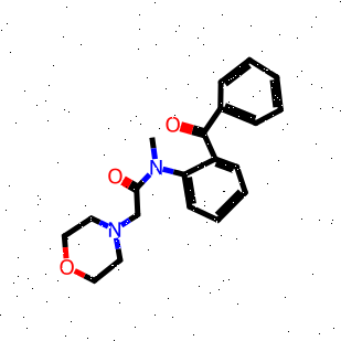 CN(C(=O)CN1CCOCC1)c1ccccc1C(=O)c1ccccc1